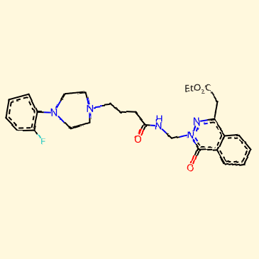 CCOC(=O)Cc1nn(CNC(=O)CCCN2CCN(c3ccccc3F)CC2)c(=O)c2ccccc12